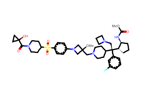 COC(=O)N[C@H]1CCC[C@@H]1[C@](CN1CCC1)(c1cccc(F)c1)C1CCN(CC2(OC)CN(c3ccc(S(=O)(=O)C4CCN(C(=O)C5(O)CC5)CC4)cc3)C2)CC1